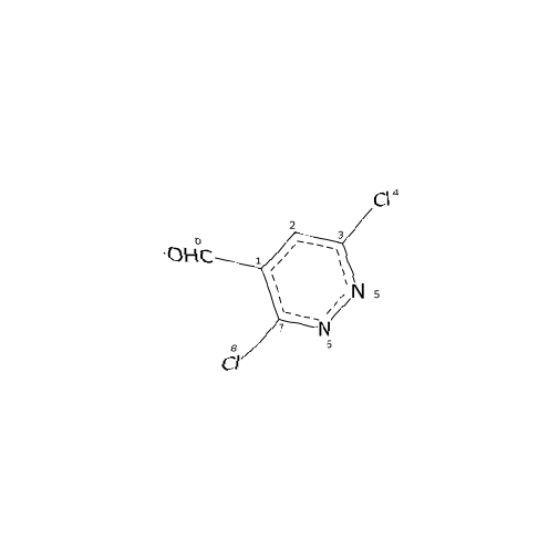 O=[C]c1cc(Cl)nnc1Cl